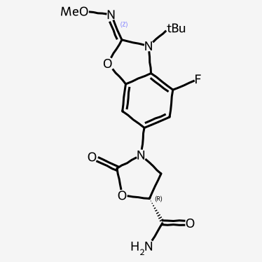 CO/N=c1\oc2cc(N3C[C@H](C(N)=O)OC3=O)cc(F)c2n1C(C)(C)C